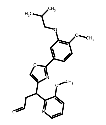 COc1ccc(-c2nc(C(CC=O)c3ncccc3OC)co2)cc1OCC(C)C